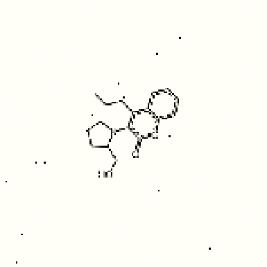 CCCc1c(N2CCCC2CO)c(=O)oc2ccccc12